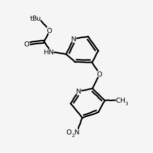 Cc1cc([N+](=O)[O-])cnc1Oc1ccnc(NC(=O)OC(C)(C)C)c1